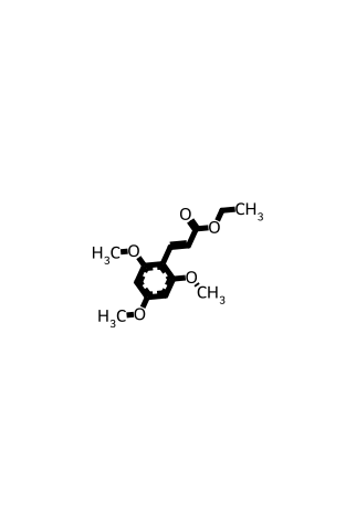 CCOC(=O)C=Cc1c(OC)cc(OC)cc1OC